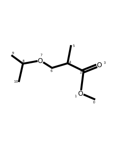 COC(=O)C(C)COC(C)C